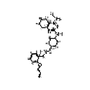 C=CCOc1ccccc1CNCC1CCC(Nc2nc3c(c(N(C)C)n2)CCCC3)CC1